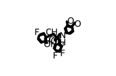 CC(C)(CC(O)(CNc1ccc2c(c1)COC2=O)Cc1ccc(F)c(F)c1)c1cc(F)ccc1O